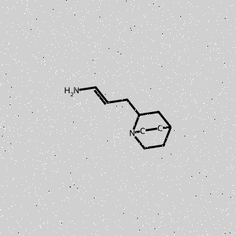 NC=CCC1CC2CCN1CC2